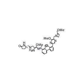 C=N/C(CNC[C@@H]1CCC(=O)N1)=C(\N=C(/C)c1cccc(-c2cccc(-c3cnc(CN4CC[C@@H]4COC)c(OC)n3)c2Cl)c1Cl)OC